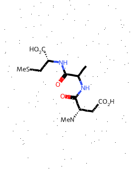 CN[C@@H](CC(=O)O)C(=O)NC(C)C(=O)N[C@H](CSC)C(=O)O